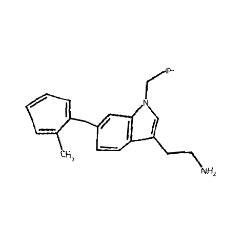 Cc1ccccc1-c1ccc2c(CCN)cn(CC(C)C)c2c1